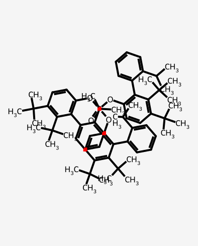 CC(C)c1ccccc1-c1c(OP(=O)(Oc2ccc(C(C)(C)C)c(C(C)(C)C)c2-c2ccccc2C(C)C)Oc2ccc(C(C)(C)C)c(C(C)(C)C)c2-c2ccccc2C(C)C)ccc(C(C)(C)C)c1C(C)(C)C